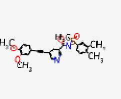 COc1ccc(C#Cc2cncc(C(=O)N=S(C)(=O)c3ccc(C)c(C)c3)c2)cc1OC